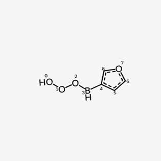 OOOBc1ccoc1